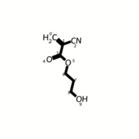 C=C(C#N)C(=O)OCCCO